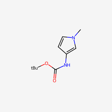 Cn1ccc(NC(=O)OC(C)(C)C)c1